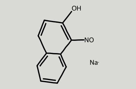 O=Nc1c(O)ccc2ccccc12.[Na]